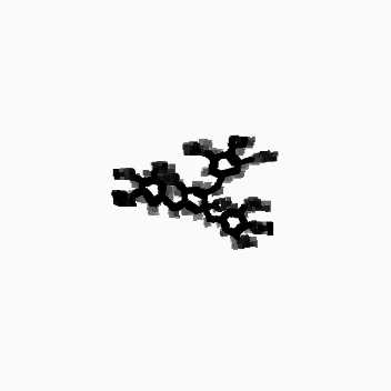 CC1(Cc2cc(C(C)(C)C)c(O)c(C(C)(C)C)c2)C=C(Cc2cc(C(C)(C)C)c(O)c(C(C)(C)C)c2)C(O)C=C1Cc1cc(C(C)(C)C)c(O)c(C(C)(C)C)c1